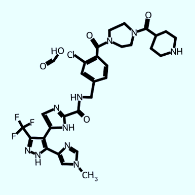 Cn1cnc(-c2[nH]nc(C(F)(F)F)c2-c2cnc(C(=O)NCc3ccc(C(=O)N4CCN(C(=O)C5CCNCC5)CC4)c(Cl)c3)[nH]2)c1.O=CO